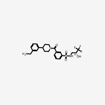 NCc1cccc(C2CCN(C(=O)c3cccc(S(=O)(=O)NC[C@@H](O)C(F)(F)F)c3)CC2)c1